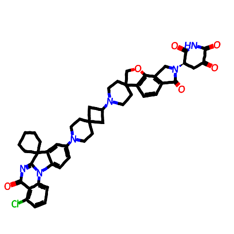 O=C1C[C@H](N2Cc3c(ccc4c3OCC43CCN(C4CC5(CCN(c6ccc7c(c6)C6(CCCCC6)c6nc(=O)c8c(Cl)cccc8n6-7)CC5)C4)CC3)C2=O)C(=O)NC1=O